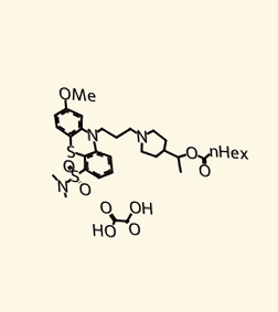 CCCCCCC(=O)OC(C)C1CCN(CCCN2c3cc(OC)ccc3Sc3c2cccc3S(=O)(=O)N(C)C)CC1.O=C(O)C(=O)O